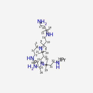 CC(C)NCCC(C)N(C(C)(C)CCNC(C)(C)CCN)C(C)(C)CCN(C(C)N)C(C)(C)CCNC(C)C